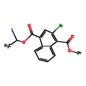 CC(C)OC(=O)c1c(Br)cc(C(=O)OC(C)I)c2ccccc12